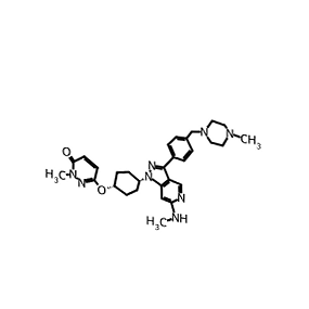 CNc1cc2c(cn1)c(-c1ccc(CN3CCN(C)CC3)cc1)nn2[C@H]1CC[C@@H](Oc2ccc(=O)n(C)n2)CC1